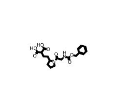 O=C(NCC(=O)N1CCCC1CCC(C(=O)O)C(=O)O)OCc1ccccc1